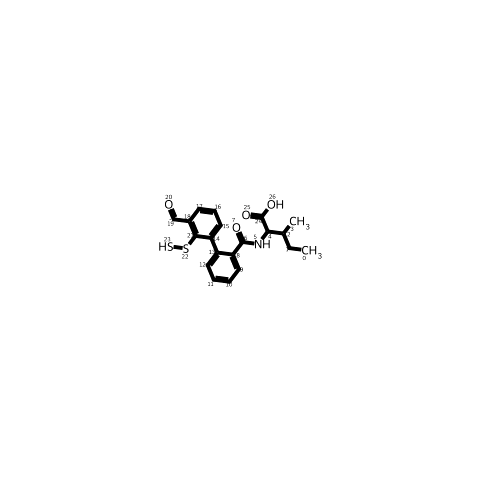 CCC(C)C(NC(=O)c1ccccc1-c1cccc([C]=O)c1SS)C(=O)O